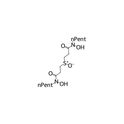 CCCCCN(O)C(=O)CC[S+]([O-])CCC(=O)N(O)CCCCC